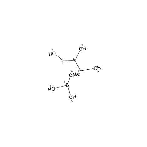 COB(O)O.OCC(O)CO